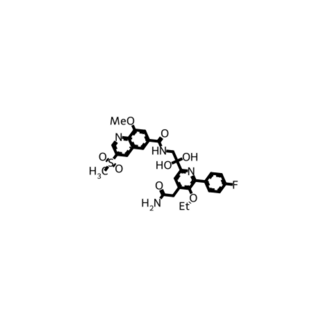 CCOc1c(CC(N)=O)cc(C(O)(O)CNC(=O)c2cc(OC)c3ncc(S(C)(=O)=O)cc3c2)nc1-c1ccc(F)cc1